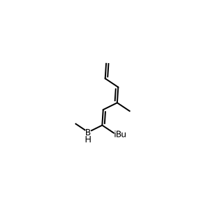 C=C/C=C(C)\C=C(\BC)C(C)CC